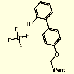 CCCC(C)COc1ccc(-c2ccccc2[IH+])cc1.F[B-](F)(F)F